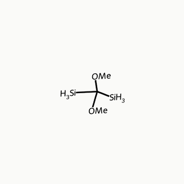 COC([SiH3])([SiH3])OC